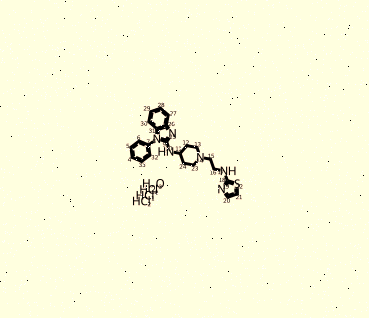 Cl.Cl.Cl.O.c1ccc(-n2c(NC3CCN(CCNc4nccs4)CC3)nc3ccccc32)cc1